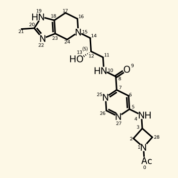 CC(=O)N1CC(Nc2cc(C(=O)NC[C@H](O)CN3CCc4[nH]c(C)nc4C3)ncn2)C1